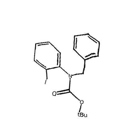 CC(C)(C)OC(=O)N(Cc1ccccc1)c1ccccc1I